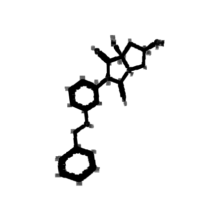 O=C1[C@@H]2C[C@@H](O)CN2C(=S)N1c1cccc(OCc2ccccc2)c1